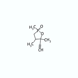 C#CC1(C)OP(C)(=O)CC1C